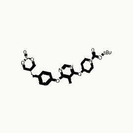 Cc1c(Oc2ccc(C[C@H]3CO[S@](=O)OC3)cc2)ncnc1OC1CCN(C(=O)OC(C)(C)C)CC1